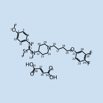 COc1ccc(N=C(SC)N(C)C2CCN(CCCCOc3ccc(F)c(F)c3)CC2)cc1.O=C(O)/C=C/C(=O)O